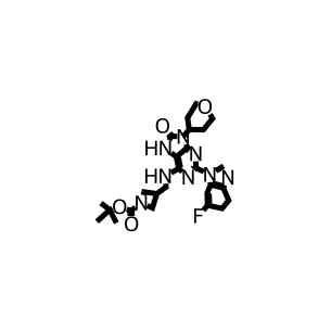 CC(C)(C)OC(=O)N1CC(CNc2nc(-n3cnc4c3C=C(F)CC4)nc3c2[nH]c(=O)n3C2CCOCC2)C1